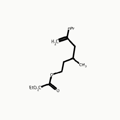 C=C(CCC)CC(C)CCOC(=O)C(=O)OCC